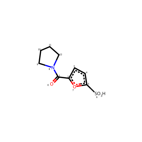 O=C(c1ccc(S(=O)(=O)O)o1)N1CCCC1